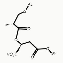 CC(=O)SC[C@@H](C)C(=O)O[C@@H](CC(=O)OC(C)C)C(=O)O